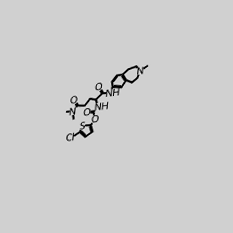 CN1CCc2ccc(NC(=O)C(CCC(=O)N(C)C)NC(=O)Oc3ccc(Cl)s3)cc2CC1